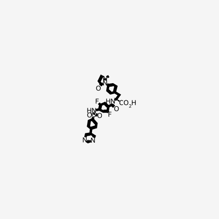 Cn1ccc(=O)n1-c1ccc(C[C@H](NC(=O)c2cc(F)c(NS(=O)(=O)c3ccc(-c4cncnc4)cc3)cc2F)C(=O)O)cc1